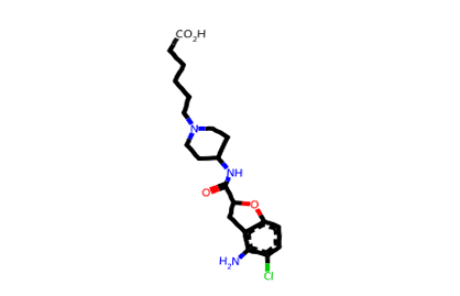 Nc1c(Cl)ccc2c1CC(C(=O)NC1CCN(CCCCCC(=O)O)CC1)O2